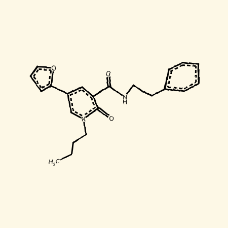 CCCCn1cc(-c2ccco2)cc(C(=O)NCCc2ccccc2)c1=O